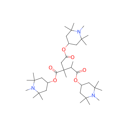 CC(C(=O)OC1CC(C)(C)N(C)C(C)(C)C1)C(C)(CC(=O)OC1CC(C)(C)N(C)C(C)(C)C1)C(=O)OC1CC(C)(C)N(C)C(C)(C)C1